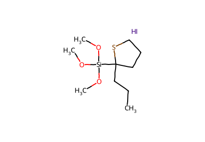 CCCC1([Si](OC)(OC)OC)CCCS1.I